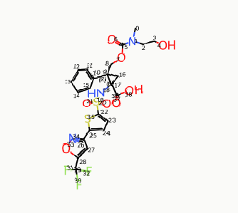 CN(CCO)C(=O)OC[C@@]1(c2ccccc2)C[C@]1(NS(=O)(=O)c1ccc(-c2cc(C(F)(F)F)on2)s1)C(=O)O